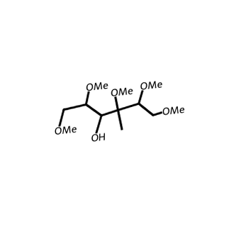 COCC(OC)C(O)C(C)(OC)C(COC)OC